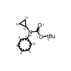 CC(C)(C)OC(=O)N(c1ccccc1)C1CC1